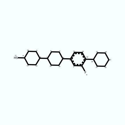 Fc1cc(C2CCC(C3CCC(S)CC3)CC2)ccc1C1CCCCC1